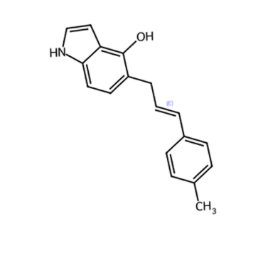 Cc1ccc(/C=C/Cc2ccc3[nH]ccc3c2O)cc1